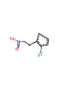 O=[N+]([O-])C[CH]c1ccccc1Cl